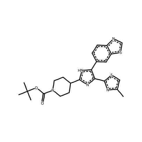 Cc1csc(-c2nc(C3CCN(C(=O)OC(C)(C)C)CC3)[nH]c2-c2ccc3ncsc3c2)n1